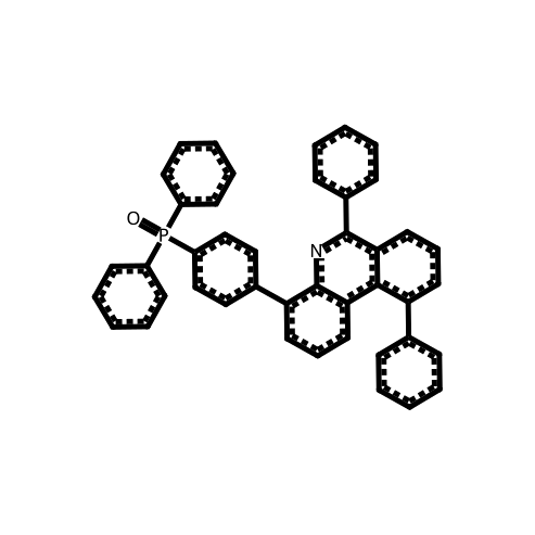 O=P(c1ccccc1)(c1ccccc1)c1ccc(-c2cccc3c2nc(-c2ccccc2)c2cccc(-c4ccccc4)c23)cc1